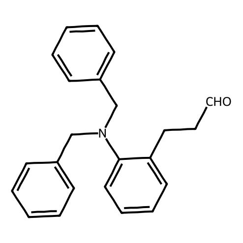 O=CCCc1ccccc1N(Cc1ccccc1)Cc1ccccc1